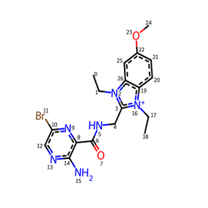 CCn1c(CNC(=O)c2nc(Br)cnc2N)[n+](CC)c2ccc(OC)cc21